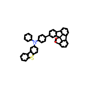 c1ccc(N(c2ccc(-c3ccc4c(c3)C35c6ccccc6-c6cccc(c63)-c3cccc-4c35)cc2)c2ccc3sc4ccccc4c3c2)cc1